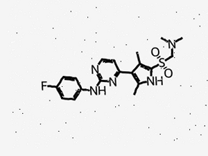 Cc1[nH]c(S(=O)(=O)CN(C)C)c(C)c1-c1ccnc(Nc2ccc(F)cc2)n1